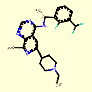 COc1nc(C2CCN(CC=O)CC2)cc2c(N[C@H](C)c3cccc(C(F)F)c3F)ncnc12